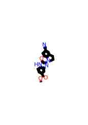 COC(=O)c1ccc2[nH]c(=O)c(N3CCCc4cc(C#N)ccc43)nc2c1